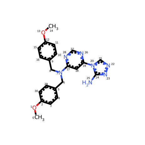 COc1ccc(CN(Cc2ccc(OC)cc2)c2cc(-n3cnnc3N)ncn2)cc1